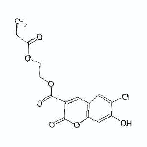 C=CC(=O)OCCOC(=O)c1cc2cc(Cl)c(O)cc2oc1=O